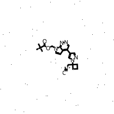 [C-]#[N+]CC1(n2cc(-c3cnnc4c3ccn4COC(=O)C(C)(C)C)cn2)CCC1